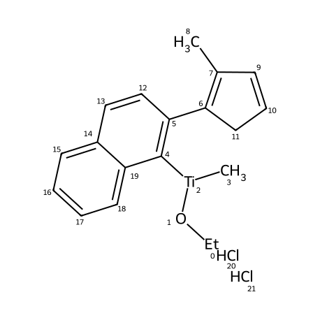 CC[O][Ti]([CH3])[c]1c(C2=C(C)C=CC2)ccc2ccccc12.Cl.Cl